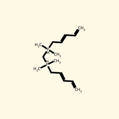 C=C/C=C/C[PH](C)(C)C[PH](C)(C)C/C=C/C=C